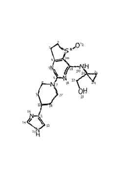 [O-][S+]1CCc2nc(N3CCC(c4c[nH]cn4)CC3)nc(NC3(CO)CC3)c21